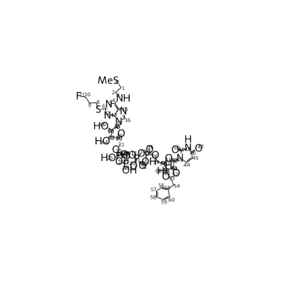 CSCCNc1nc(SCCCF)nc2c1ncn2[C@@H]1O[C@H](COP(=O)(O)OP(=O)(O)OP(=O)(O)OP(=O)(O)OC[C@H]2O[C@@H](n3ccc(=O)[nH]c3=O)[C@@H]3OC(Cc4ccccc4)O[C@@H]32)[C@@H](O)[C@H]1O